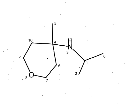 CC(C)NC1(C)CCOCC1